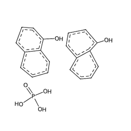 O=P(O)(O)O.Oc1cccc2ccccc12.Oc1cccc2ccccc12